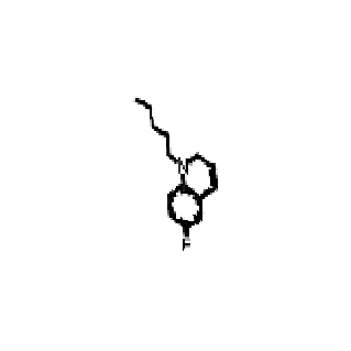 CCCCCN1CC=Cc2cc(F)ccc21